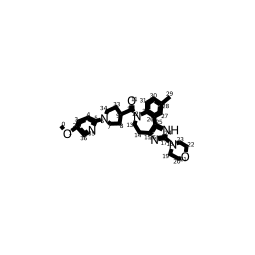 COc1ccc(N2CCC(C(=O)N3CCc4nc(N5CCOCC5)[nH]c4-c4cc(C)ccc43)CC2)nc1